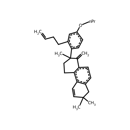 C=CCCc1cc(OCCC)ccc1C1(C)CCc2c(ccc3c2C=CC(C)(C)C3)C1=C